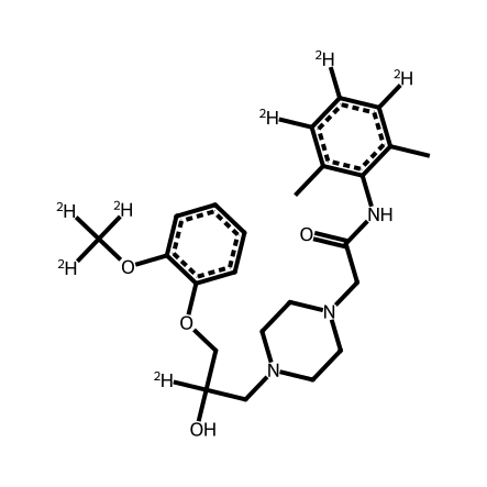 [2H]c1c([2H])c(C)c(NC(=O)CN2CCN(CC([2H])(O)COc3ccccc3OC([2H])([2H])[2H])CC2)c(C)c1[2H]